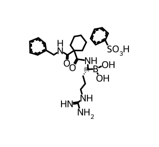 N=C(N)NCCC[C@H](NC(=O)C1(C(=O)NCc2ccccc2)CCCCC1)B(O)O.O=S(=O)(O)c1ccccc1